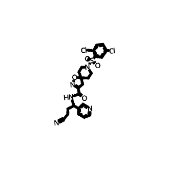 N#CCCC(NC(=O)C1=NOC2(CCN(S(=O)(=O)c3cc(Cl)ccc3Cl)CC2)C1)c1cccnc1